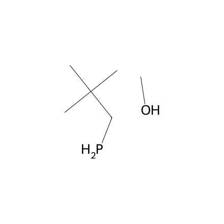 CC(C)(C)CP.CO